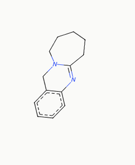 c1ccc2c(c1)CN1CCCCCC1=N2